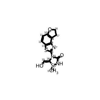 C[SiH]1NC(=O)N(c2nc3c4c(ccc3s2)OCC4)/C1=C/O